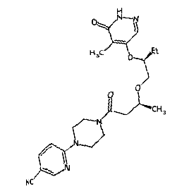 CC[C@@H](CO[C@@H](C)CC(=O)N1CCN(c2ccc(C#N)cn2)CC1)Oc1cn[nH]c(=O)c1C